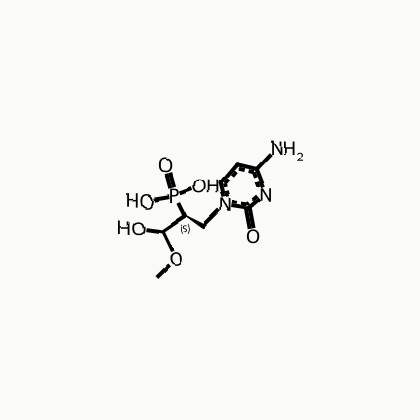 COC(O)[C@H](Cn1ccc(N)nc1=O)P(=O)(O)O